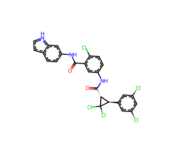 O=C(Nc1ccc2cc[nH]c2c1)c1cc(NC(=O)[C@@H]2[C@@H](c3cc(Cl)cc(Cl)c3)C2(Cl)Cl)ccc1Cl